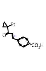 CCC1(C(=O)/C=C/c2ccc(C(=O)O)cc2)CC1